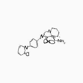 NC(=O)[C@]12[CH]CCCN1CN(c1ccc(-n3ccccc3=O)cc1)C2=O